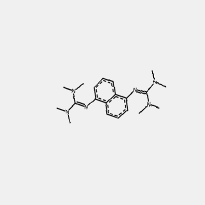 CN(C)C(=Nc1cccc2c(N=C(N(C)C)N(C)C)cccc12)N(C)C